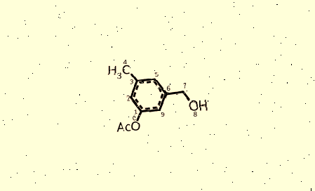 CC(=O)Oc1cc(C)cc([CH]O)c1